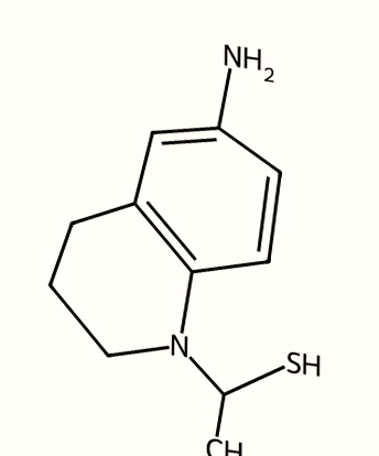 CC(S)N1CCCc2cc(N)ccc21